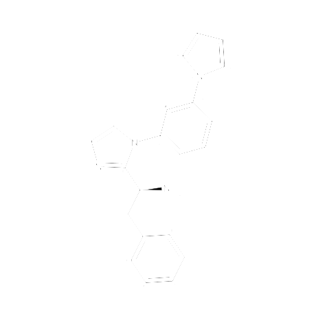 N[C@@H](Cc1ccccc1)c1nccn1-c1cccc(-n2cccc2)c1